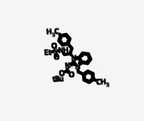 CCS(=O)(=O)NCC(Cc1ccc(C)cc1)n1/c(=N/C(=O)OC(C)(C)C)n(Cc2ccc(C)cc2)c2ccccc21